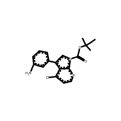 CC(C)(C)OC(=O)n1cc(-c2cccc(N)c2)c2c(Cl)ccnc21